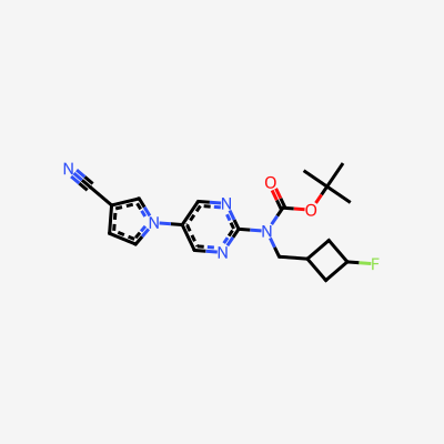 CC(C)(C)OC(=O)N(CC1CC(F)C1)c1ncc(-n2ccc(C#N)c2)cn1